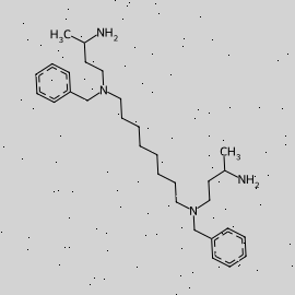 CC(N)CCN(CCCCCCCCN(CCC(C)N)Cc1ccccc1)Cc1ccccc1